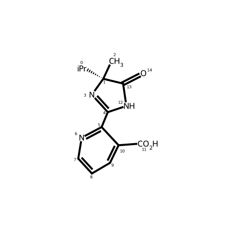 CC(C)[C@@]1(C)N=C(c2ncccc2C(=O)O)NC1=O